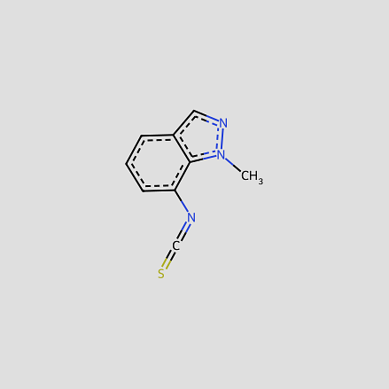 Cn1ncc2cccc(N=C=S)c21